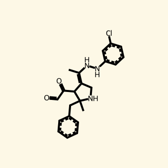 CC(NNc1cccc(Cl)c1)=C1CNC(C)(Cc2ccccc2)C1C(=O)C=O